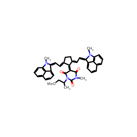 COCC(C)N1C(=O)C(=C2/C(=C/C=c3\c4cccc5cccc(c54)n3C)CC/C2=C\C=c2/c3cccc4cccc(c43)n2C)C(=O)N(C)C1=O